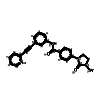 CC(C)N1CCN(c2ccc(C(=O)Nc3cccc(C#Cc4ccccn4)c3)cc2)C1=O